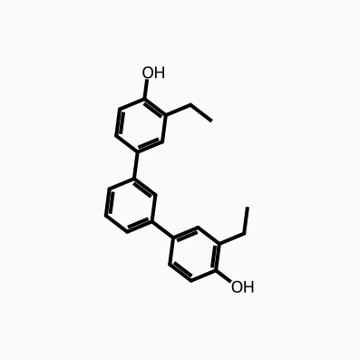 CCc1cc(-c2cccc(-c3ccc(O)c(CC)c3)c2)ccc1O